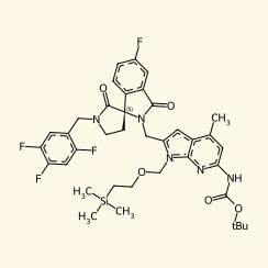 Cc1cc(NC(=O)OC(C)(C)C)nc2c1cc(CN1C(=O)c3cc(F)ccc3[C@]13CCN(Cc1cc(F)c(F)cc1F)C3=O)n2COCC[Si](C)(C)C